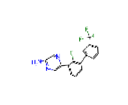 Nc1cnc(-c2cccc(-c3cccc(C(F)(F)F)c3)c2F)cn1